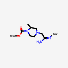 CC(=O)O/N=C(/N)CN1CCN(C(=O)OC(C)(C)C)C(C)C1